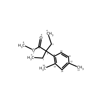 CCC(CC)(C(=O)OC)c1ccc(C)cc1C